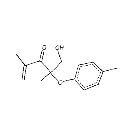 C=C(C)C(=O)C(C)(CO)Oc1ccc(C)cc1